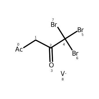 CC(=O)CC(=O)C(Br)(Br)Br.[V]